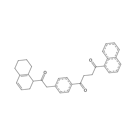 O=C(CCC(=O)c1cccc2ccccc12)c1ccc(CC(=O)C2CC=CC3=C2CCCC3)cc1